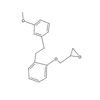 COc1cccc(CCc2ccccc2OCC2CO2)c1